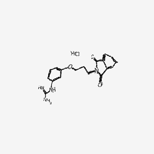 Cl.N=C(N)Nc1cccc(OCCCN2C(=O)c3ccccc3C2=O)c1